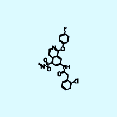 C=NS(=O)(=O)c1cc(NC(=O)Cc2ccccc2Cl)cc2c(Oc3ccc(F)cc3)nccc12